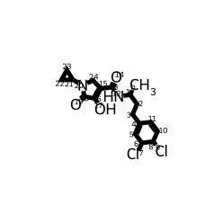 CC(CCC1=CC(Cl)C(Cl)C=C1)NC(=O)C1=C(O)C(=O)N(C2CC2)C1